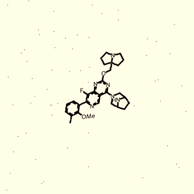 COc1c(C)cccc1-c1ncc2c(N3CC4CCC(C3)N4)nc(OCC34CCCN3CCC4)nc2c1F